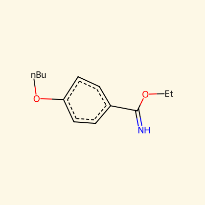 CCCCOc1ccc(C(=N)OCC)cc1